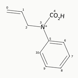 C=CC[N+](C(=O)O)c1ccccc1